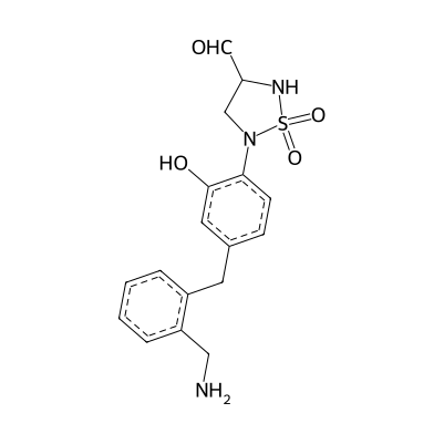 NCc1ccccc1Cc1ccc(N2CC(C=O)NS2(=O)=O)c(O)c1